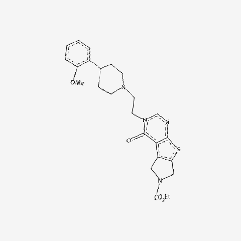 CCOC(=O)N1Cc2sc3ncn(CCN4CCC(c5ccccc5OC)CC4)c(=O)c3c2C1